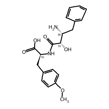 COc1ccc(C[C@H](NC(=O)[C@@H](O)[C@H](N)Cc2ccccc2)C(=O)O)cc1